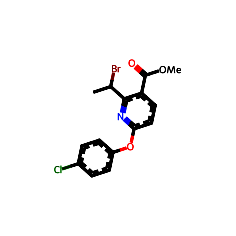 COC(=O)c1ccc(Oc2ccc(Cl)cc2)nc1C(C)Br